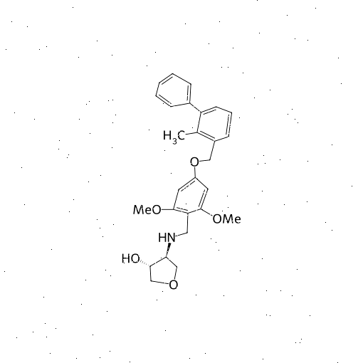 COc1cc(OCc2cccc(-c3ccccc3)c2C)cc(OC)c1CN[C@H]1COC[C@@H]1O